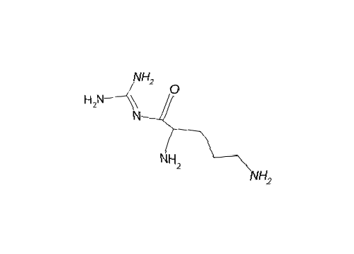 NCCCC(N)C(=O)N=C(N)N